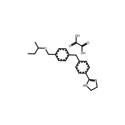 CCC(C)OCc1ccc(Cc2ccc(C3=NCCN3)cc2)cc1.O=C(O)C(=O)O